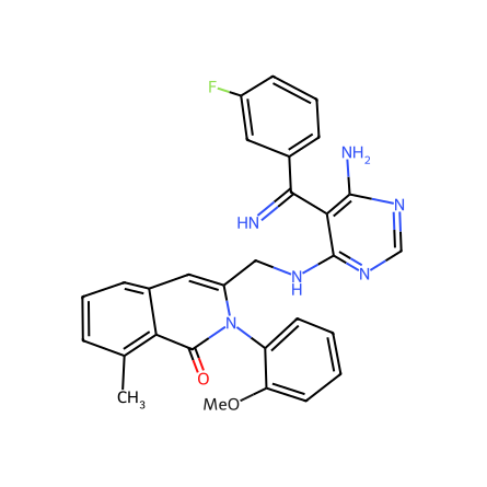 COc1ccccc1-n1c(CNc2ncnc(N)c2C(=N)c2cccc(F)c2)cc2cccc(C)c2c1=O